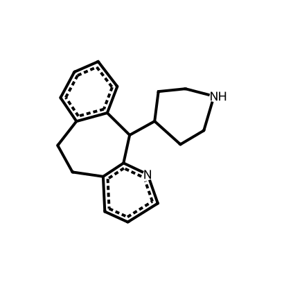 c1ccc2c(c1)CCc1cccnc1C2C1CCNCC1